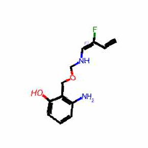 C=C/C(F)=C\NCOCc1c(N)cccc1O